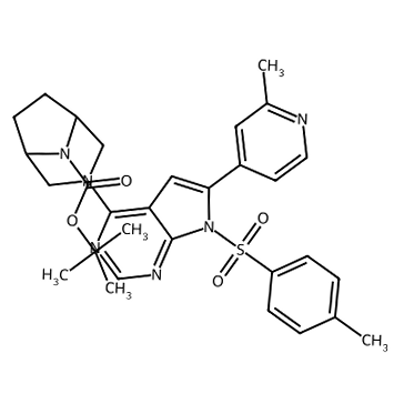 Cc1ccc(S(=O)(=O)n2c(-c3ccnc(C)c3)cc3c(N4CC5CCC(C4)N5C(=O)OC(C)(C)C)ncnc32)cc1